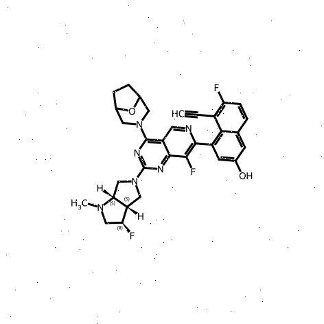 C#Cc1c(F)ccc2cc(O)cc(-c3ncc4c(N5CC6CCC(C5)O6)nc(N5C[C@H]6[C@@H](C5)N(C)C[C@@H]6F)nc4c3F)c12